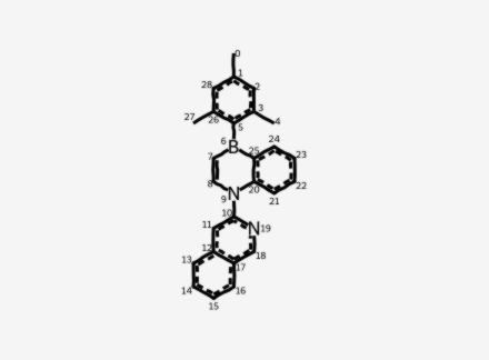 Cc1cc(C)c(B2C=CN(c3cc4ccccc4cn3)c3ccccc32)c(C)c1